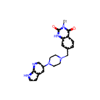 CCn1c(=O)[nH]c2cc(CN3CCN(c4cnc5[nH]ccc5c4)CC3)ccc2c1=O